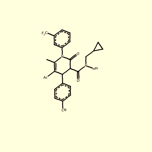 CCCN(CC1CC1)C(=O)C1C(=O)N(c2cccc(C(F)(F)F)c2)C(C)=C(C(C)=O)C1c1ccc(C#N)cc1